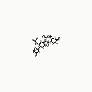 Cc1cc(-c2cc3oc(-c4ccc(F)cc4)c(C(=O)O)c3cc2OC(C)C)on1